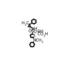 CN(c1ccccc1)c1ccc(S(=O)(=O)N[C@H]2C[C@]2(C)c2ccccc2)s1.O=C(O)O